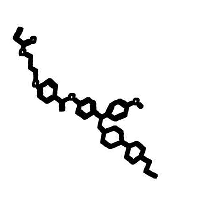 C=CC(=O)OCCCOc1ccc(C(=C)Oc2ccc(C(CC3CCC(C4CCC(CCC)CC4)CC3)c3ccc(OC)cc3)cc2)cc1